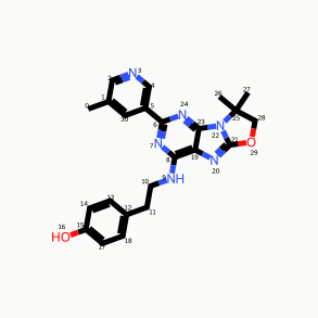 Cc1cncc(-c2nc(NCCc3ccc(O)cc3)c3nc4n(c3n2)C(C)(C)CO4)c1